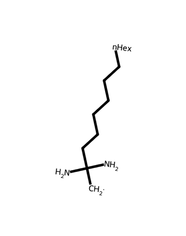 [CH2]C(N)(N)CCCCCCCCCCCC